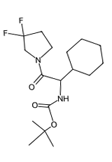 CC(C)(C)OC(=O)NC(C(=O)N1CCC(F)(F)C1)C1CCCCC1